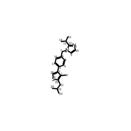 Cc1c(-c2ccc(Cn3ccnc3C(C)C)cc2)[c]sc1CC(C)C